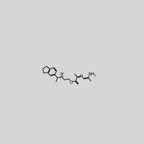 C=C(OCCNC(C)c1ccc2c(c1)CCC2)/C(C)=N\C=C(\C)N